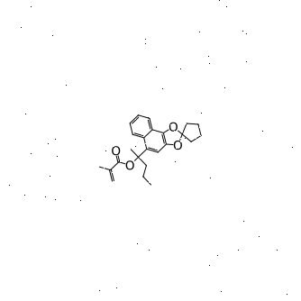 C=C(C)C(=O)OC(C)(CCC)c1cc2c(c3ccccc13)OC1(CCCC1)O2